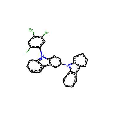 Fc1cc(Br)c(Br)cc1-n1c2ccccc2c2cc(-n3c4ccccc4c4ccccc43)ccc21